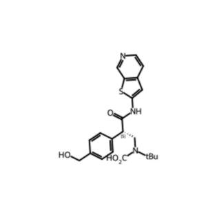 CC(C)(C)N(C[C@@H](C(=O)Nc1cc2ccncc2s1)c1ccc(CO)cc1)C(=O)O